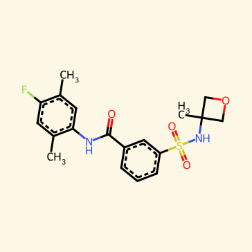 Cc1cc(NC(=O)c2cccc(S(=O)(=O)NC3(C)COC3)c2)c(C)cc1F